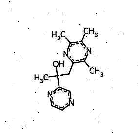 Cc1nc(C)c(CC(C)(O)c2cnccn2)nc1C